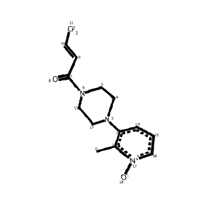 Cc1c(N2CCN(C(=O)C=CC(F)(F)F)CC2)ccc[n+]1[O-]